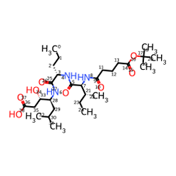 CCC[C@H](NC(=O)[C@@H](NC(=O)CCCC(=O)OC(C)(C)C)[C@H](C)CC)C(=O)N[C@@H](CC(C)C)[C@@H](O)CC(=O)O